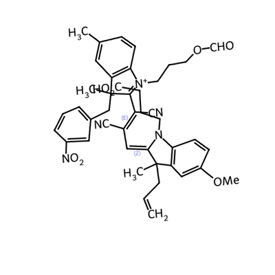 C=CCC1(C)/C(=C/C(C#N)=C(\C#N)C2=[N+](CCCOC=O)c3ccc(C)cc3C2(C)Cc2cccc([N+](=O)[O-])c2)N(CCCC(=O)O)c2ccc(OC)cc21